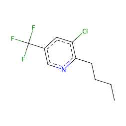 CCCCc1ncc(C(F)(F)F)cc1Cl